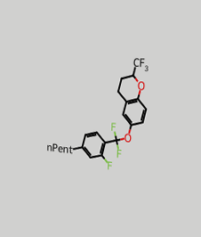 CCCCCc1ccc(C(F)(F)Oc2ccc3c(c2)CCC(C(F)(F)F)O3)c(F)c1